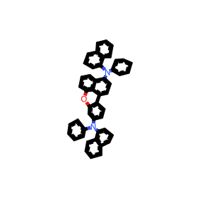 c1ccc(N(c2ccc3c(c2)Oc2cccc4c(N(c5ccccc5)c5cccc6ccccc56)ccc-3c24)c2cccc3ccccc23)cc1